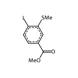 COC(=O)c1ccc(I)c(SC)c1